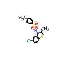 Cc1ccc(S(=O)(=O)O/N=C2/c3cc(Cl)ccc3SCC2C)cc1